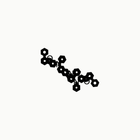 c1ccc(N(c2ccc3cc4c5ccc(N(c6ccccc6)c6ccc7c(c6)oc6c(C8CCCCC8)cccc67)c6c7ccccc7n(c4cc3c2)c56)c2ccc3c(c2)oc2c(C4CCCCC4)cccc23)cc1